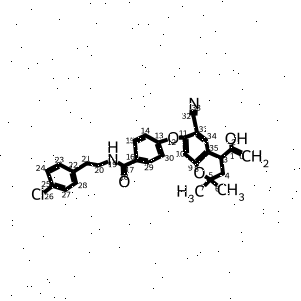 C=C(O)C1CC(C)(C)Oc2cc(Oc3ccc(C(=O)NCCc4ccc(Cl)cc4)cc3)c(C#N)cc21